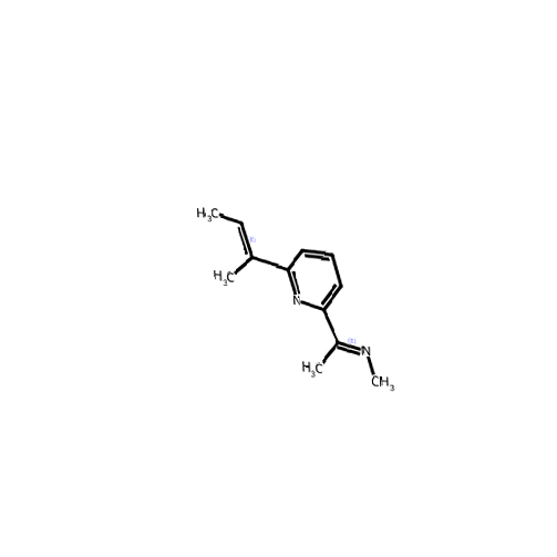 C/C=C(\C)c1cccc(/C(C)=N/C)n1